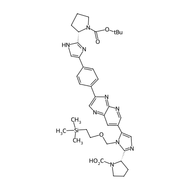 CC(C)(C)OC(=O)N1CCC[C@H]1c1nc(-c2ccc(-c3cnc4cc(-c5cnc([C@@H]6CCCN6C(=O)O)n5COCC[Si](C)(C)C)cnc4n3)cc2)c[nH]1